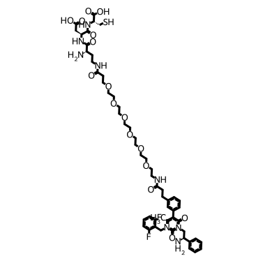 Cc1c(-c2cccc(CCC(=O)NCCOCCOCCOCCOCCOCCOCCC(=O)NCC[C@H](N)C(=O)N[C@@H](CC(=O)O)C(=O)N[C@@H](CS)C(=O)O)c2)c(=O)n(C[C@H](N)c2ccccc2)c(=O)n1Cc1c(F)cccc1F